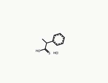 CC(C(O)=S)c1ccccc1.Cl